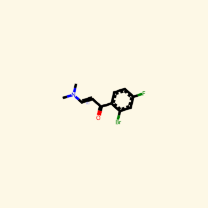 CN(C)/C=C/C(=O)c1ccc(F)cc1Br